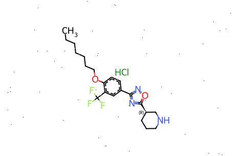 CCCCCCCOc1ccc(-c2noc([C@@H]3CCCNC3)n2)cc1C(F)(F)F.Cl